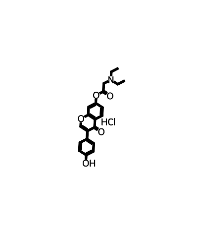 CCN(CC)CC(=O)Oc1ccc2c(=O)c(-c3ccc(O)cc3)coc2c1.Cl